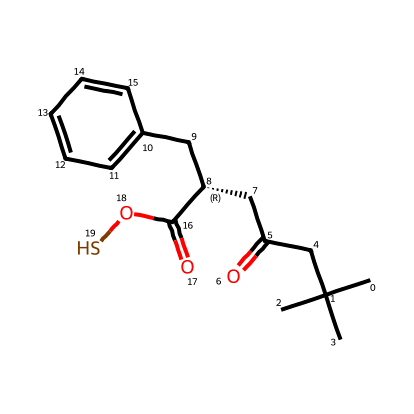 CC(C)(C)CC(=O)C[C@@H](Cc1ccccc1)C(=O)OS